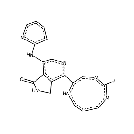 O=C1NCc2c(-c3cnc(I)nccc[nH]3)ncc(Nc3ccccn3)c21